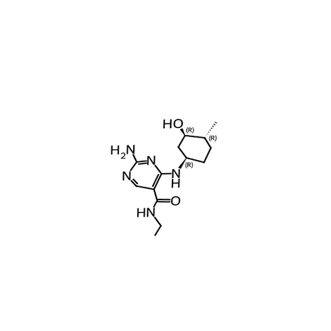 CCNC(=O)c1cnc(N)nc1N[C@@H]1CC[C@@H](C)[C@H](O)C1